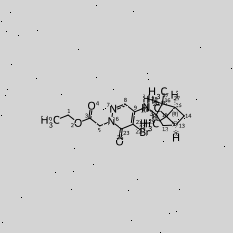 CCOC(=O)Cn1ncc(N[C@@H]2C[C@@H]3C[C@H]([C@H]2C)C3(C)C)c(Br)c1=O